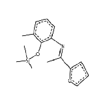 CC(=Nc1cccc(C)c1O[Si](C)(C)C)c1ccco1